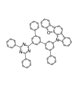 c1ccc(-c2cc(-c3cc(-c4ccccc4)cc(-n4c5ccccc5c5ccc6c7ccccc7oc6c54)c3)cc(-c3nc(-c4ccccc4)nc(-c4ccccc4)n3)c2)cc1